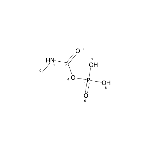 CNC(=O)OP(=O)(O)O